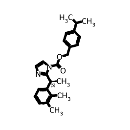 Cc1cccc([C@H](C)c2nccn2C(=O)OCc2ccc(C(C)C)cc2)c1C